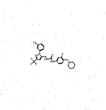 O=C(NCc1cc(C(F)(F)F)nn1-c1cccc(Cl)c1)Nc1ccc(CN2CCCCC2)c(F)c1